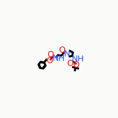 CC(C)(C)OC(=O)N[C@@H]1CCN(C(=O)CCNC(=O)OCc2ccccc2)C1